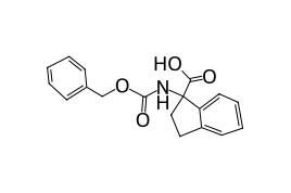 O=C(NC1(C(=O)O)CCc2ccccc21)OCc1ccccc1